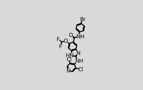 O=C(Nc1ccc(Br)cc1)c1cc2nc(Nc3c(Cl)cncc3Cl)[nH]c2cc1OC(F)F